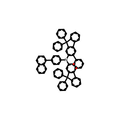 c1ccc(-c2cc3c(cc2N(c2ccc(-c4cccc5ccccc45)cc2)c2ccc4c(c2)C(c2ccccc2)(c2ccccc2)c2ccccc2-4)C(c2ccccc2)(c2ccccc2)c2ccccc2-3)cc1